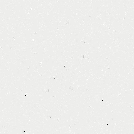 CC1CC(N(C)c2nc3sc(-c4ncc(-c5cn[nH]c5)c5[nH]cnc45)nc3s2)CCN1C